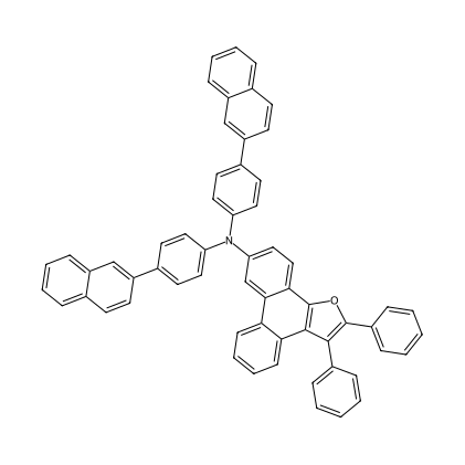 c1ccc(-c2oc3c4ccc(N(c5ccc(-c6ccc7ccccc7c6)cc5)c5ccc(-c6ccc7ccccc7c6)cc5)cc4c4ccccc4c3c2-c2ccccc2)cc1